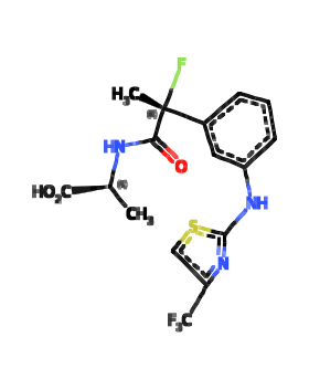 C[C@H](NC(=O)[C@](C)(F)c1cccc(Nc2nc(C(F)(F)F)cs2)c1)C(=O)O